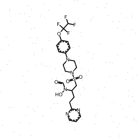 O=CN(O)C(CCc1ncccn1)CS(=O)(=O)N1CCN(c2ccc(OC(F)(F)C(F)F)cc2)CC1